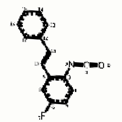 O=C=Nc1ccc(F)cc1C=Cc1ccccc1